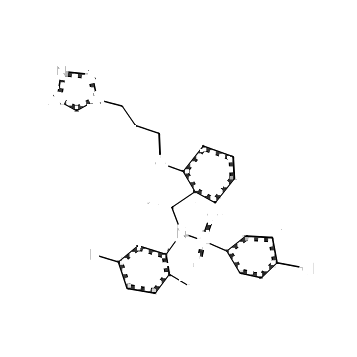 C[C@H](c1ccccc1OCCCn1cnnn1)N(c1cc(F)ccc1F)S(=O)(=O)c1ccc(Cl)cc1